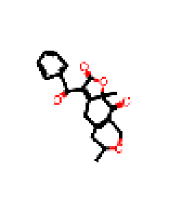 CC1CC2=C(CO1)C(=O)C1(C)OC(=O)C(C(=O)c3ccccc3)=C1C2